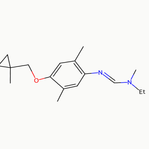 CCN(C)/C=N/c1cc(C)c(OCC2(C)CC2)cc1C